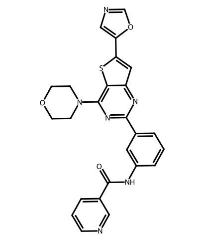 O=C(Nc1cccc(-c2nc(N3CCOCC3)c3sc(-c4cnco4)cc3n2)c1)c1cccnc1